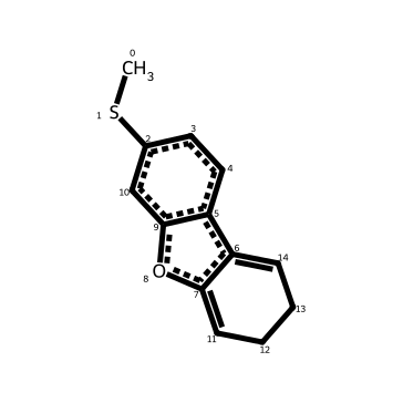 CSc1ccc2c3c(oc2c1)=CCCC=3